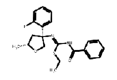 CCS/C(=N\[C@@]1(c2ccccc2F)CO[C@H](C)C1)NC(=O)c1ccccc1